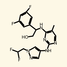 Cc1cnc(Nc2cnn(CC(F)F)c2)nc1NC(CO)c1cc(F)cc(F)c1